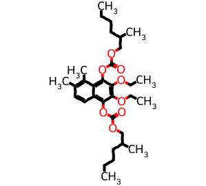 CCCCC(C)COC(=O)Oc1c(OCC)c(OCC)c(OC(=O)OCC(C)CCCC)c2c(C)c(C)ccc12